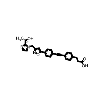 C[C@H](O)c1nccn1Cc1cc(-c2ccc(C#Cc3ccc(CCC(=O)O)cc3)cc2)on1